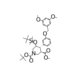 COC(=O)[C@H]1CN(C(=O)OC(C)(C)C)C[C@@H](O[Si](C)(C)C(C)(C)C)[C@@H]1c1cccc(OCc2cc(OC)cc(OC)c2)c1